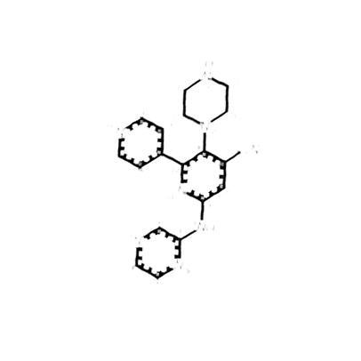 N#Cc1cc(Nc2cnccn2)nc(-c2ccncc2)c1N1CCNCC1